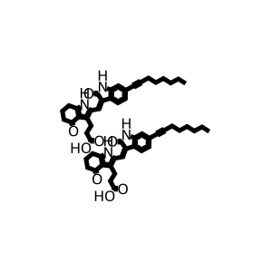 CCCCCCC#Cc1ccc2c(c1)NC(=O)/C2=C\c1[nH]c2c(c1CCC(=O)O)C(=O)CCC2.CCCCCCC#Cc1ccc2c(c1)NC(=O)C2=Cc1[nH]c2c(c1CCC(=O)O)C(=O)CCC2